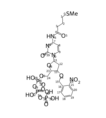 CSCCCC(=O)Nc1ccn(C2CC(OCc3ccccc3[N+](=O)[O-])C(COP(=O)(O)OP(=O)(O)OP(=O)(O)O)O2)c(=O)n1